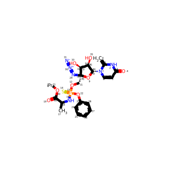 C=C1NC(=O)C=CN1[C@@H]1O[C@@](COP(=S)(NC(C)C(=O)OC(C)C)Oc2ccccc2)(N=[N+]=[N-])[C@@H](O)[C@H]1O